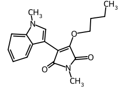 CCCCOC1=C(c2cn(C)c3ccccc23)C(=O)N(C)C1=O